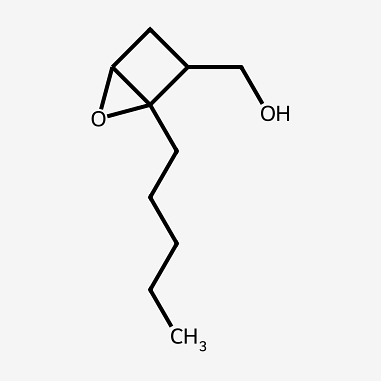 CCCCCC12OC1CC2CO